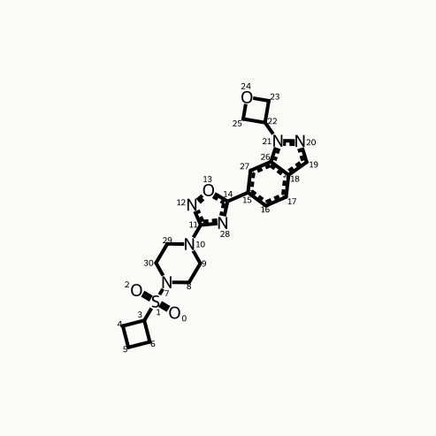 O=S(=O)(C1CCC1)N1CCN(c2noc(-c3ccc4cnn(C5COC5)c4c3)n2)CC1